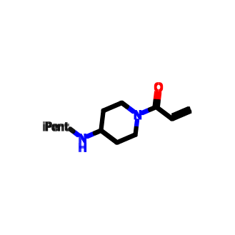 C=CC(=O)N1CCC(NC(C)CCC)CC1